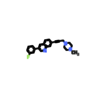 CN1CCN(CC#Cc2ccc3cc(-c4cccc(F)c4)cnc3c2)CC1